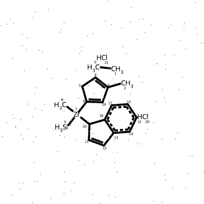 CC.CC1=CC[C]([Zr]([CH3])([SiH3])[CH]2C=Cc3ccccc32)=C1.Cl.Cl